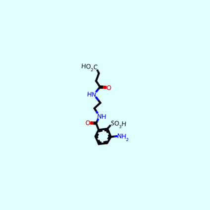 Nc1cccc(C(=O)NCCNC(=O)CCC(=O)O)c1S(=O)(=O)O